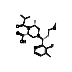 COCC[C@H](c1nccc(C)c1F)N1C[C@@H](C)N(C(=O)C(C)C)[C@@H](C(=O)O)C1